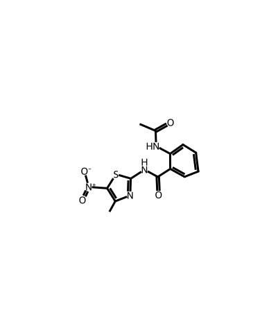 CC(=O)Nc1ccccc1C(=O)Nc1nc(C)c([N+](=O)[O-])s1